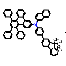 CC1(C)c2ccccc2-c2ccc(-c3ccc(N(c4ccc5ccccc5c4)c4ccc5c(c4)c4ccccc4c4c(-c6ccccc6)cc(-c6ccccc6)c(-c6ccccc6)c54)cc3)cc21